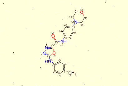 Cc1ccc(Nc2nnc(C(=O)Nc3ccc(N4CCOCC4)cc3)o2)cc1